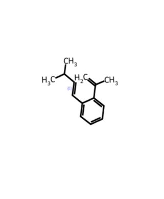 C=C(C)c1ccccc1/C=C/C(C)C